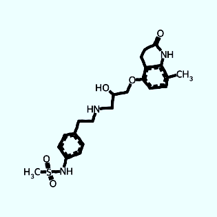 Cc1ccc(OCC(O)CNCCc2ccc(NS(C)(=O)=O)cc2)c2c1NC(=O)CC2